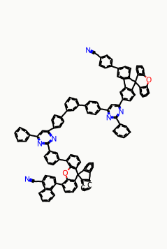 N#Cc1ccc(-c2ccc3c(c2)-c2cc(-c4cc(-c5ccc(-c6cccc(-c7ccc(-c8cc(-c9ccccc9)nc(-c9cccc(-c%10cccc%11c%10Oc%10c(-c%12ccc(C#N)c%13ccccc%12%13)cccc%10C%11%10c%11ccccc%11-c%11ccccc%11%10)c9)n8)cc7)c6)cc5)nc(-c5ccccc5)n4)ccc2C32c3ccccc3Oc3ccccc32)cc1